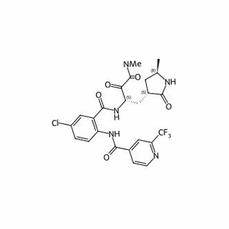 CNC(=O)C(=O)[C@H](C[C@@H]1C[C@@H](C)NC1=O)NC(=O)c1cc(Cl)ccc1NC(=O)c1ccnc(C(F)(F)F)c1